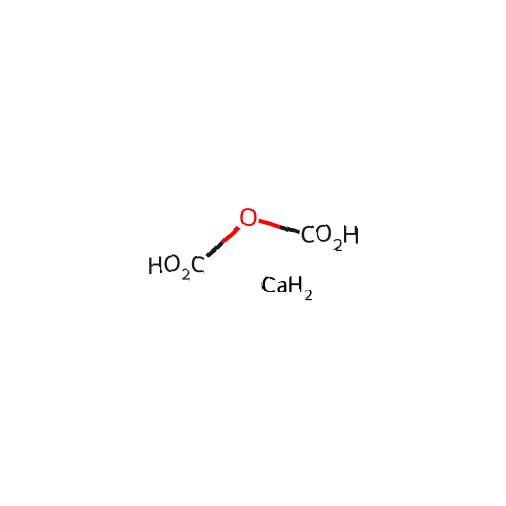 O=C(O)OC(=O)O.[CaH2]